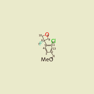 COCc1ccc(C2(F)COC2)c(Cl)c1